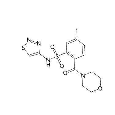 Cc1ccc(C(=O)N2CCOCC2)c(S(=O)(=O)Nc2csnn2)c1